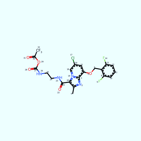 Cc1nc2c(OCc3c(F)cccc3F)cc(Cl)cn2c1C(=O)NCCNC(=O)OC(=O)C(F)(F)F